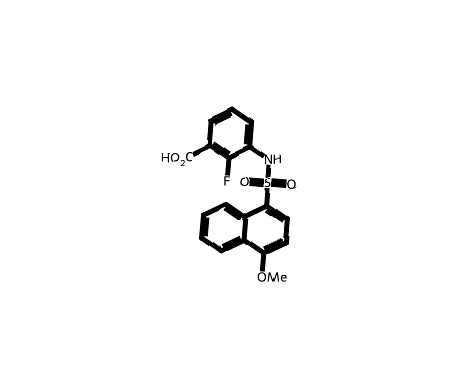 COc1ccc(S(=O)(=O)Nc2cccc(C(=O)O)c2F)c2ccccc12